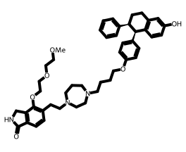 COCCOCCOc1c(CCN2CCCN(CCCCOc3ccc([C@@H]4c5ccc(O)cc5CC[C@@H]4c4ccccc4)cc3)CC2)ccc2c1CNC2=O